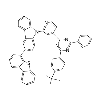 CC(C)(C)c1ccc(-c2nc(-c3ccccc3)nc(-c3ccnc(-n4c5ccccc5c5cc(-c6cccc7c6sc6ccccc67)ccc54)c3)n2)cc1